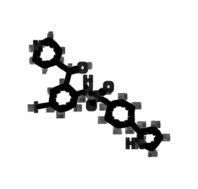 O=C(c1ccncc1)c1cc(I)ccc1NS(=O)(=O)c1ccc(-c2ccc[nH]2)cc1